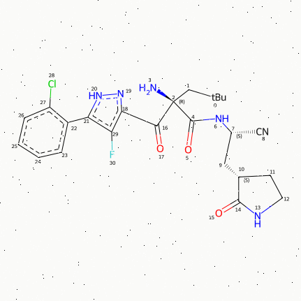 CC(C)(C)C[C@](N)(C(=O)N[C@H](C#N)C[C@@H]1CCNC1=O)C(=O)c1n[nH]c(-c2ccccc2Cl)c1F